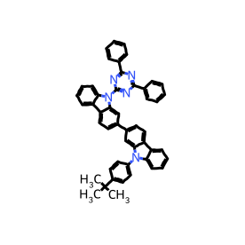 CC(C)(C)c1ccc(-n2c3ccccc3c3ccc(-c4ccc5c6ccccc6n(-c6nc(-c7ccccc7)nc(-c7ccccc7)n6)c5c4)cc32)cc1